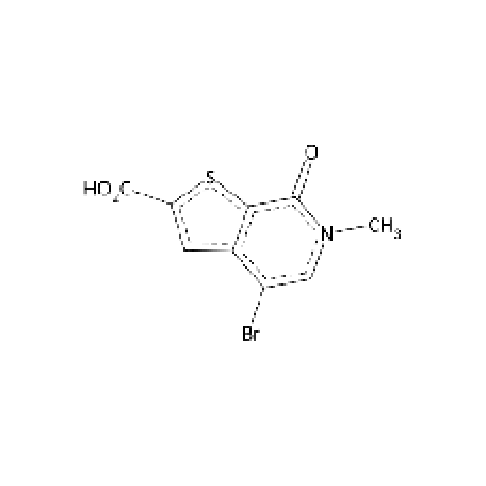 Cn1cc(Br)c2cc(C(=O)O)sc2c1=O